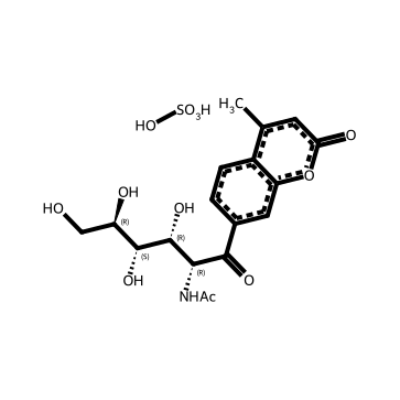 CC(=O)N[C@@H](C(=O)c1ccc2c(C)cc(=O)oc2c1)[C@@H](O)[C@H](O)[C@H](O)CO.O=S(=O)(O)O